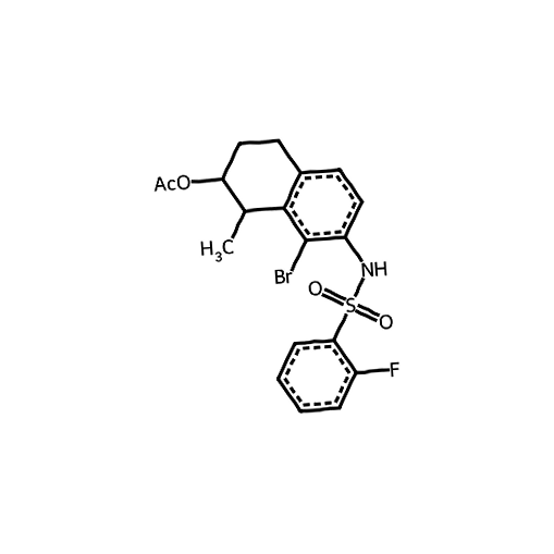 CC(=O)OC1CCc2ccc(NS(=O)(=O)c3ccccc3F)c(Br)c2C1C